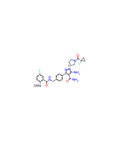 COc1ccc(F)cc1C(=O)NCc1ccc(-c2nn([C@@H]3CCN(C(=O)C4(F)CC4)C3)c(N)c2C(N)=O)cc1